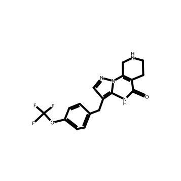 O=c1[nH]c2c(Cc3ccc(OC(F)(F)F)cc3)cnn2c2c1CCNC2